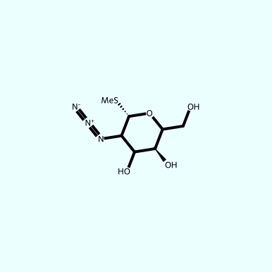 CS[C@@H]1OC(CO)[C@@H](O)C(O)C1N=[N+]=[N-]